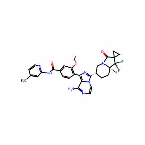 CCOc1cc(C(=O)Nc2cc(C(F)(F)F)ccn2)ccc1-c1nc([C@H]2CC[C@H]3N(C2)C(=O)C2(CC2)C3(F)F)n2ccnc(N)c12